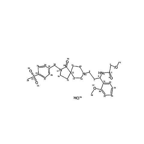 COCC(=O)NC(CCN1CCC2(CC1)CCN(Cc1ccc(S(C)(=O)=O)cc1)C2=O)c1ccccc1OC.Cl